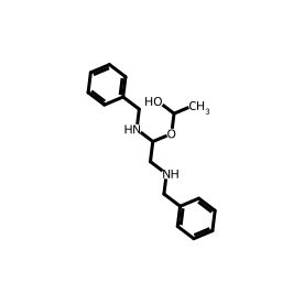 CC(O)OC(CNCc1ccccc1)NCc1ccccc1